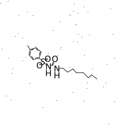 CCCCCCCCNC(=O)NS(=O)(=O)c1ccc(C)cc1